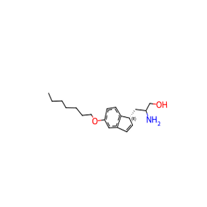 CCCCCCCOc1ccc2c(c1)C=C[C@H]2CC(N)CO